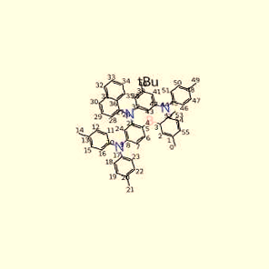 CC1=CC2B3c4ccc(N(c5ccc(C)cc5)c5ccc(C)cc5)cc4N(c4cccc5ccccc45)c4cc(C(C)(C)C)cc(c43)N(c3ccc(C)cc3)C2(C)C=C1